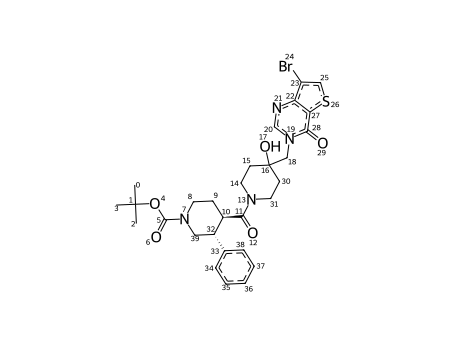 CC(C)(C)OC(=O)N1CC[C@@H](C(=O)N2CCC(O)(Cn3cnc4c(Br)csc4c3=O)CC2)[C@H](c2ccccc2)C1